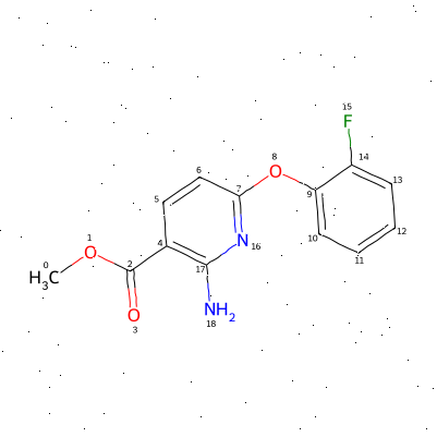 COC(=O)c1ccc(Oc2ccccc2F)nc1N